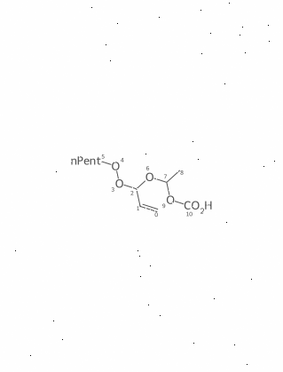 C=CC(OOCCCCC)OC(C)OC(=O)O